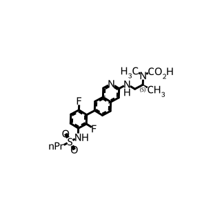 CCCS(=O)(=O)Nc1ccc(F)c(-c2ccc3cc(NC[C@H](C)N(C)C(=O)O)ncc3c2)c1F